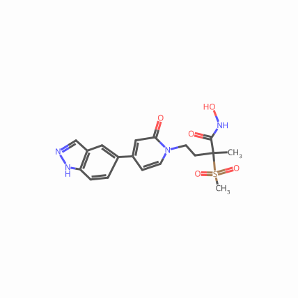 CC(CCn1ccc(-c2ccc3[nH]ncc3c2)cc1=O)(C(=O)NO)S(C)(=O)=O